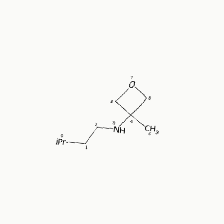 CC(C)CCNC1(C)COC1